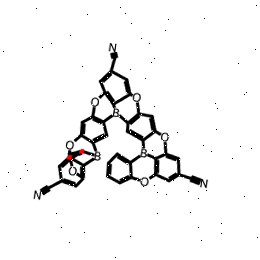 N#Cc1cc2c3c(c1)Oc1cc4c(cc1B3c1ccccc1O2)B1c2cc3c(cc2Oc2cc(C#N)cc(c21)O4)Oc1cc(C#N)cc2c1B3c1ccccc1O2